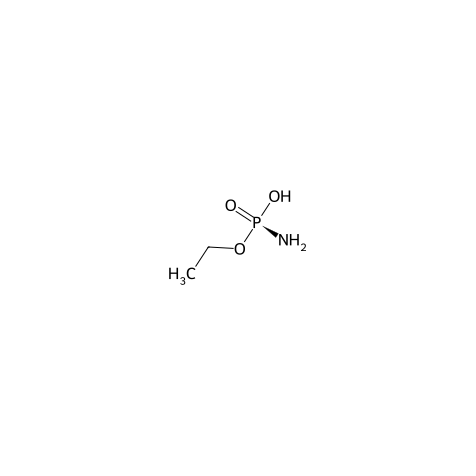 CCO[P@](N)(=O)O